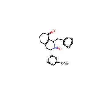 COc1cccc([C@@H]2CC3=C(C(=O)CCC3)[C@@H](Cc3ccccc3)[N+]2=O)c1